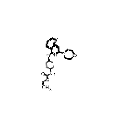 CCOC(=O)NC1CCC(Oc2nc(N3CCOCC3)cc3ncccc23)CC1